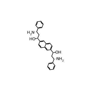 N[C@@H](C[C@H](O)c1ccc2cc([C@@H](O)C[C@H](N)c3ccccc3)ccc2c1)c1ccccc1